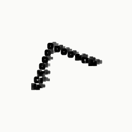 [Ba+2].[Ba+2].[Cu+2].[Cu+2].[O-2].[O-2].[O-2].[O-2].[O-2].[O-2].[O-2].[Sc+3].[Sc+3]